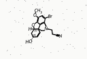 COc1cc(Br)c2c3c1O[C@H]1C[C@@H](O)C=C[C@@]31CCN(CCC#N)C2